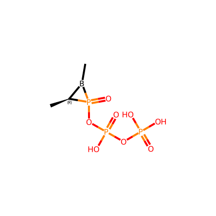 CB1[C@H](C)P1(=O)OP(=O)(O)OP(=O)(O)O